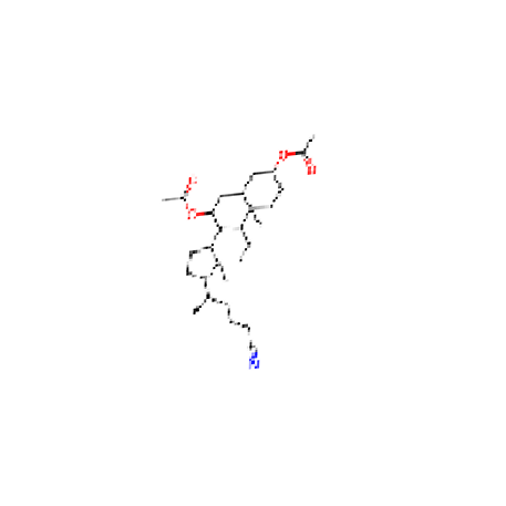 CC(=O)OC1CCC2(C)C(C1)CC(OC(C)=O)C1C2CCC2(C)C1CCC2[C@H](C)CCCC#N